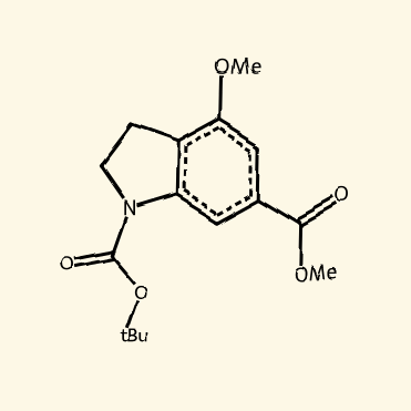 COC(=O)c1cc(OC)c2c(c1)N(C(=O)OC(C)(C)C)CC2